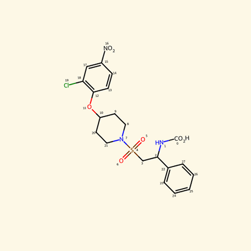 O=C(O)NC(CS(=O)(=O)N1CCC(Oc2ccc([N+](=O)[O-])cc2Cl)CC1)c1ccccc1